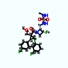 CNS(=O)(=O)NC[C@@H]1[C@H](F)CN1C(=O)[C@]1(COC)C[C@H]1c1ccc(F)cc1-c1c(F)cccc1F